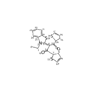 CCN1C(=C(C(=O)C2CC=CS2)C(=O)C2CC=CS2)Sc2ccccc21